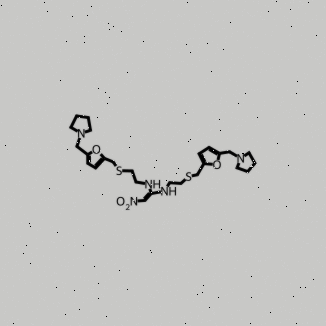 O=[N+]([O-])C=C(NCCSCc1ccc(CN2CCCC2)o1)NCCSCc1ccc(CN2CCCC2)o1